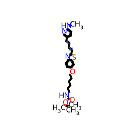 CNc1ccc(/C=C/C=C/c2nc3ccc(OCCCCCCNC(=O)OC(C)(C)C)cc3s2)cn1